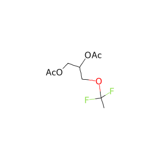 CC(=O)OCC(COC(C)(F)F)OC(C)=O